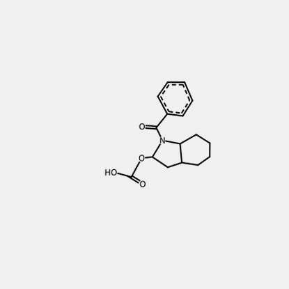 O=C(O)OC1CC2CCCCC2N1C(=O)c1ccccc1